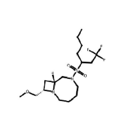 CCCCC(CC(F)(F)F)S(=O)(=O)N1CCCCN2[C@H](COC)C[C@@H]2C1